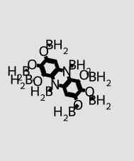 BOc1cc2c(c(OB)c1OB)N(B)c1cc(OB)c(OB)c(OB)c1N2B